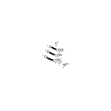 O=C([O-])[O-].O=C([O-])[O-].O=C([O-])[O-].[Hf+4].[Li+].[Li+]